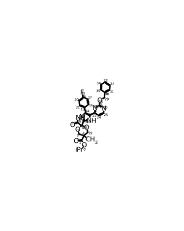 CC(C)OC(=O)C1(C)COC(C(N)=O)(c2nc(-c3ccc(F)cc3)c(-c3ccnc(OCc4ccccc4)n3)[nH]2)OC1